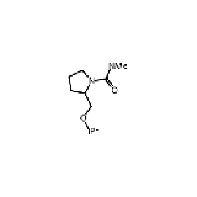 CNC(=O)N1CCCC1COC(C)C